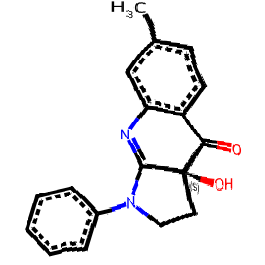 Cc1ccc2c(c1)N=C1N(c3ccccc3)CC[C@@]1(O)C2=O